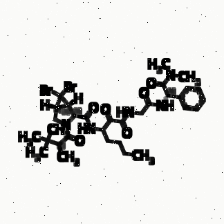 CCCCC(NC(=O)[C@@H]1[C@@H]2[C@H](CN1C(=O)[C@@H](C)C(C)(C)C)C2(Br)Br)C(=O)C(=O)NCC(=O)N[C@H](C(=O)N(C)C)c1ccccc1